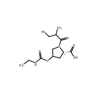 CCNC(=O)OC1C[C@@H](C(=O)O)N(C(=O)C(C)CS)C1